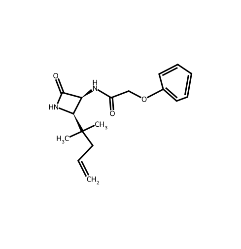 C=CCC(C)(C)[C@H]1NC(=O)[C@H]1NC(=O)COc1ccccc1